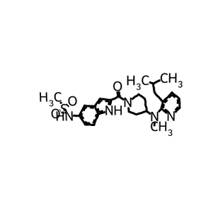 CC(C)Cc1cccnc1N(C)C1CCN(C(=O)c2cc3cc(NS(C)(=O)=O)ccc3[nH]2)CC1